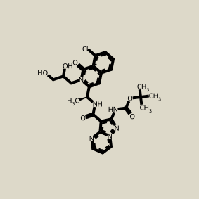 C[C@H](NC(=O)c1c(NC(=O)OC(C)(C)C)nn2cccnc12)c1cc2cccc(Cl)c2c(=O)n1CC(O)CO